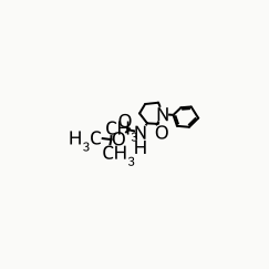 CC(C)(C)OC(=O)N[C@H]1CCCN(c2ccccc2)C1=O